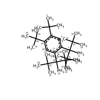 CC(C)(C)c1cc(C(P)(C(C)(C)C)C(C)(C)C)c(C(P)(C(C)(C)C)C(C)(C)C)cc1C(C)(C)C